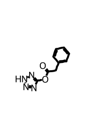 O=C(Cc1ccccc1)Oc1nn[nH]n1